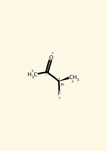 CC(=O)[C@@H](C)F